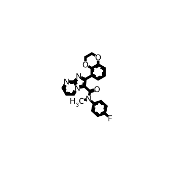 CN(C(=O)c1c(-c2cccc3c2OCCO3)nc2ncccn12)c1ccc(F)cc1